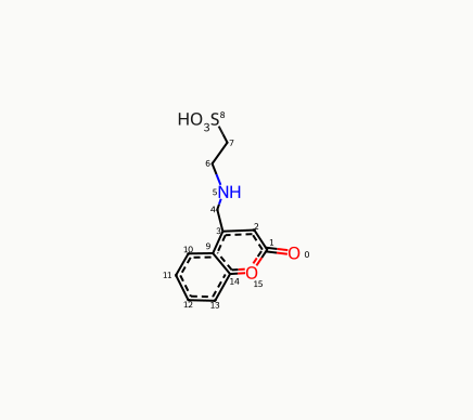 O=c1cc(CNCCS(=O)(=O)O)c2ccccc2o1